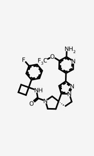 Nc1ncc(-c2cc3n(n2)CC[C@@]32CCN(C(=O)NC3(c4cccc(F)c4)CCC3)C2)cc1OC(F)(F)F